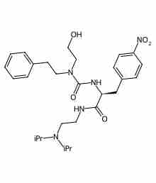 CC(C)N(CCNC(=O)[C@H](Cc1ccc([N+](=O)[O-])cc1)NC(=O)N(CCO)CCc1ccccc1)C(C)C